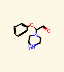 O=CC(Oc1ccccc1)N1CCNCC1